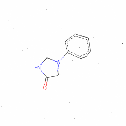 O=C1[CH]N(c2ccccc2)CN1